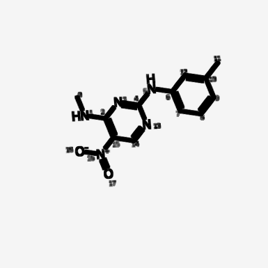 CNc1nc(Nc2cccc(C)c2)ncc1[N+](=O)[O-]